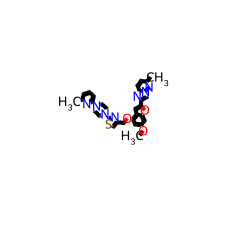 COc1cc(OCc2csc(N3CCN(c4cccc(C)n4)CC3)n2)c2cc(-c3cn4nc(C)ccc4n3)oc2c1